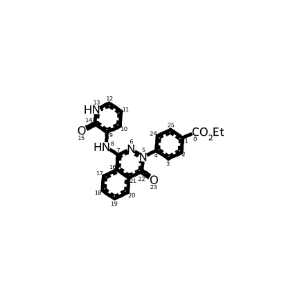 CCOC(=O)c1ccc(-n2nc(Nc3ccc[nH]c3=O)c3ccccc3c2=O)cc1